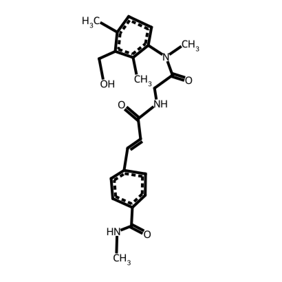 CNC(=O)c1ccc(C=CC(=O)NCC(=O)N(C)c2ccc(C)c(CO)c2C)cc1